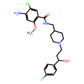 COc1cc(N)c(Cl)cc1C(=O)NCC1CCN(CCC(O)c2ccc(F)cc2)CC1